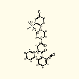 CS(=O)(=O)c1cc(F)ccc1N1CCN(C(=O)CN(C(=O)c2ccccc2C#N)c2ccccc2)CC1